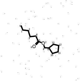 CCCC[CH]C(=O)OCC1CCCC1